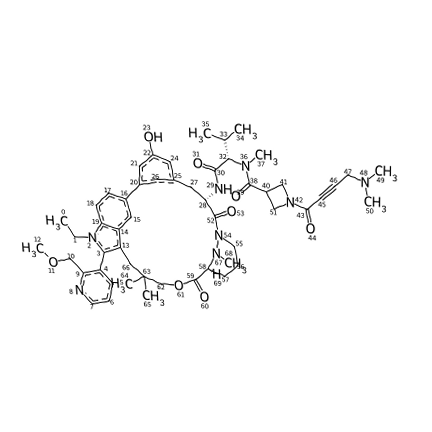 CCn1c(-c2cccnc2COC)c2c3cc(ccc31)-c1cc(O)cc(c1)C[C@H](NC(=O)[C@H](C(C)C)N(C)C(=O)C1CN(C(=O)C#CCN(C)C)C1)C(=O)N1CCC[C@@H](C(=O)OCC(C)(C)C2)N1C